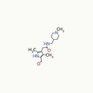 Cc1[nH]c(C=O)c(C)c1CC(=O)NCC1CCN(C)CC1